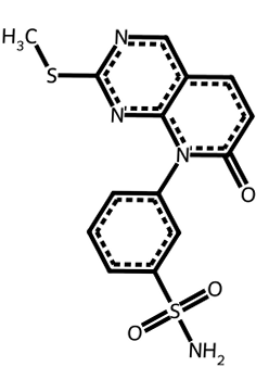 CSc1ncc2ccc(=O)n(-c3cccc(S(N)(=O)=O)c3)c2n1